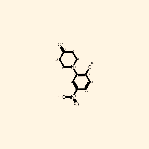 O=C1CCN(c2cc([N+](=O)[O-])ccc2Cl)CC1